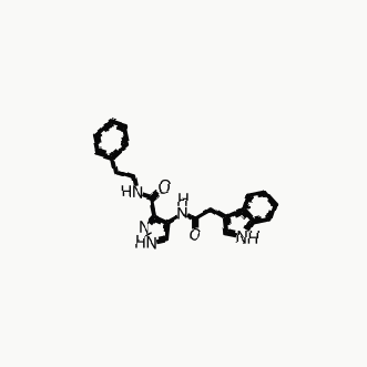 O=C(Cc1c[nH]c2ccccc12)Nc1c[nH]nc1C(=O)NCCc1ccccc1